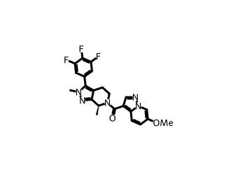 COc1ccc2c(C(=O)N3CCc4c(nn(C)c4-c4cc(F)c(F)c(F)c4)[C@@H]3C)cnn2c1